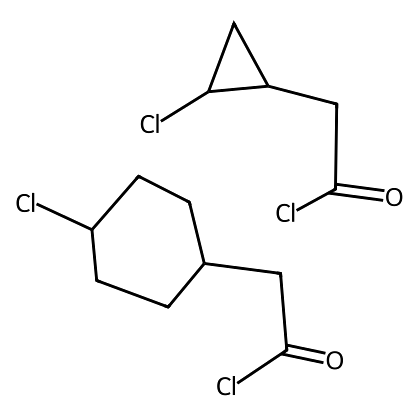 O=C(Cl)CC1CC1Cl.O=C(Cl)CC1CCC(Cl)CC1